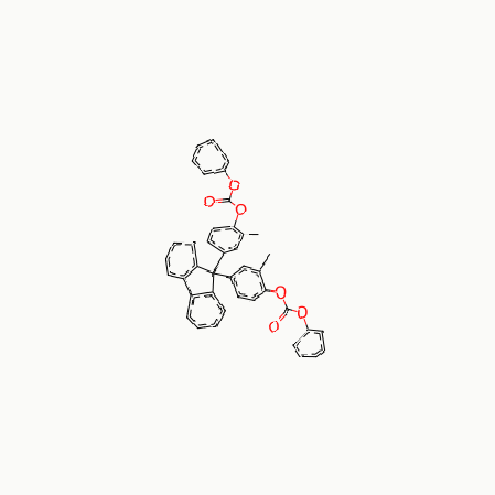 Cc1cc(C2(c3ccc(OC(=O)Oc4ccccc4)c(C)c3)c3ccccc3-c3ccccc32)ccc1OC(=O)Oc1ccccc1